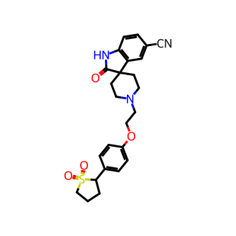 N#Cc1ccc2c(c1)C1(CCN(CCOc3ccc(C4CCCS4(=O)=O)cc3)CC1)C(=O)N2